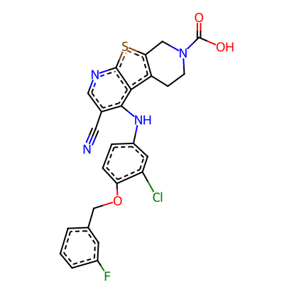 N#Cc1cnc2sc3c(c2c1Nc1ccc(OCc2cccc(F)c2)c(Cl)c1)CCN(C(=O)O)C3